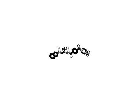 O=N[C@H](CNC(=O)c1ccc(C(=O)N2CCS(=O)(=O)CC2)cc1)CNC1Cc2ccccc2C1